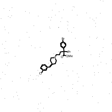 COC(=O)C(CCCN1CCC(=Cc2cccc(Cl)c2)CC1)(c1ccc(Br)cc1)C(C)C